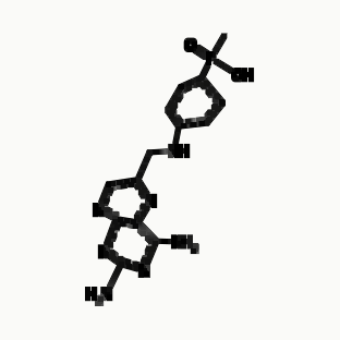 CP(=O)(O)c1ccc(NCc2cnc3nc(N)nc(N)c3n2)cc1